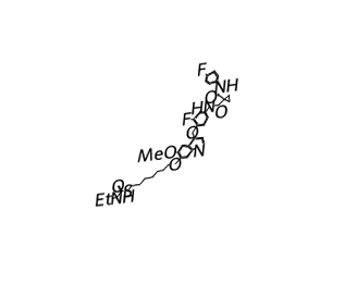 CCNC(=O)SCCCCCCCOc1cc2nccc(Oc3ccc(NC(=O)C4(C(=O)Nc5ccc(F)cc5)CC4)cc3F)c2cc1OC